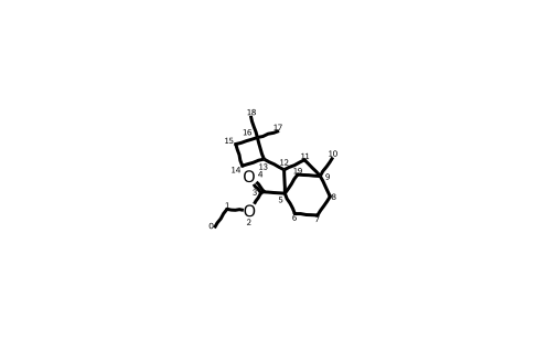 CCOC(=O)C12CCCC(C)(CC1C1CCC1(C)C)C2